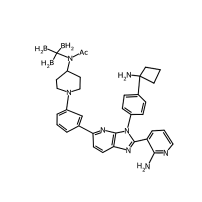 BC(B)(B)N(C(C)=O)C1CCN(c2cccc(-c3ccc4nc(-c5cccnc5N)n(-c5ccc(C6(N)CCC6)cc5)c4n3)c2)CC1